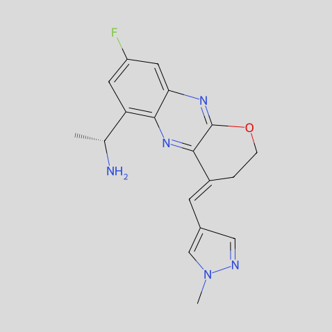 C[C@@H](N)c1cc(F)cc2nc3c(nc12)C(=Cc1cnn(C)c1)CCO3